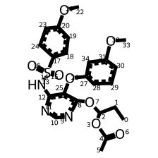 CCC(OC(C)=O)Oc1ncnc(NS(=O)(=O)c2ccc(OC)cc2)c1Oc1cccc(OC)c1